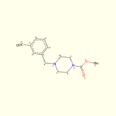 CC(C)(C)OC(=O)N1CCN(Cc2cccc(C=O)c2)CC1